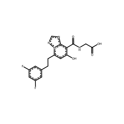 O=C(O)CNC(=O)c1c(O)cc(CCc2cc(F)cc(F)c2)n2ncnc12